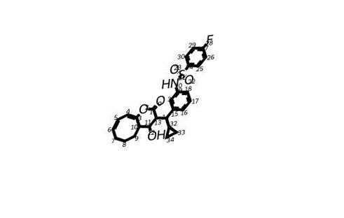 O=C1OC2=CC=CCCCC2C(O)C1C(c1cccc(NS(=O)(=O)c2ccc(F)cc2)c1)C1CC1